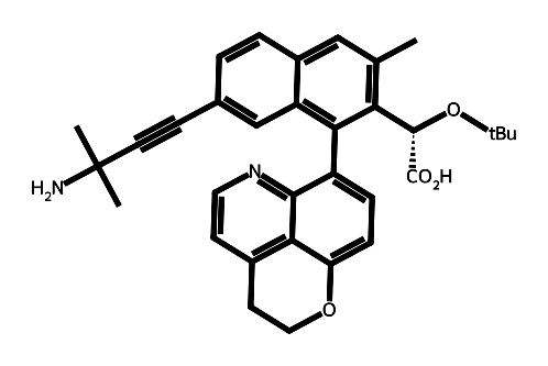 Cc1cc2ccc(C#CC(C)(C)N)cc2c(-c2ccc3c4c(ccnc24)CCO3)c1[C@H](OC(C)(C)C)C(=O)O